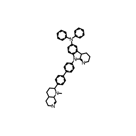 CN1C(c2ccc(-c3ccc(N4C5=NCCCC5c5cc(N(c6ccccc6)c6ccccc6)ccc54)cc3)cc2)CCC2CCN=CC21